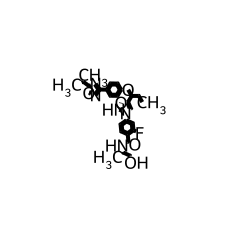 CCC(Oc1ccc(-c2noc(C(C)C)n2)cc1)C1=CN(c2ccc(C(=O)N[C@H](C)CO)c(F)c2)NO1